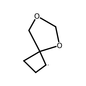 [CH]1CCC12COCO2